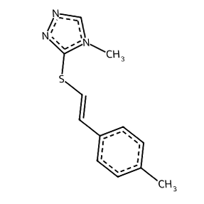 Cc1ccc(/C=C/Sc2nncn2C)cc1